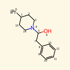 CC(C)C1CCN(C(O)Cc2ccccc2)CC1